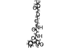 CN1C(=O)C[C@H](C(=O)NCCC(=O)NCCOCCOCCC(=O)OC(C)(C)C)[C@H]1c1cccnc1